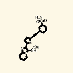 CC(C)(C)Nc1c(-c2ccc(C#Cc3cccc(S(N)(=O)=O)c3)s2)nc2ccccn12